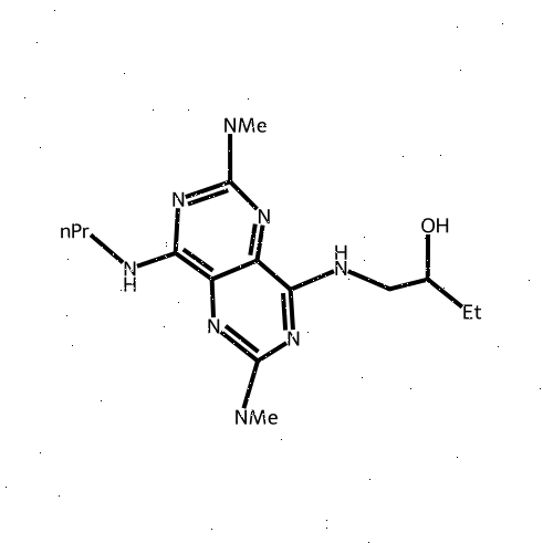 CCCNc1nc(NC)nc2c(NCC(O)CC)nc(NC)nc12